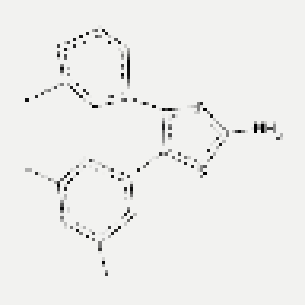 Cc1cccc(-c2nc(N)sc2-c2cc(C)nc(C)c2)c1